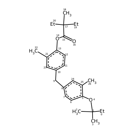 CCC(C)(C)Oc1ccc(Cc2ccc(OC(=O)C(C)(CC)CC)c(C)c2)cc1C